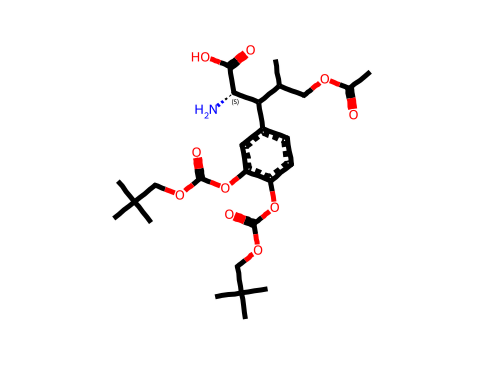 CC(=O)OCC(C)C(c1ccc(OC(=O)OCC(C)(C)C)c(OC(=O)OCC(C)(C)C)c1)[C@H](N)C(=O)O